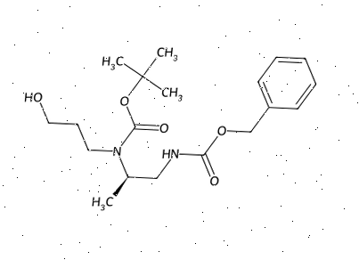 C[C@H](CNC(=O)OCc1ccccc1)N(CCCO)C(=O)OC(C)(C)C